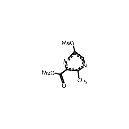 COC(=O)c1nc(OC)cnc1C